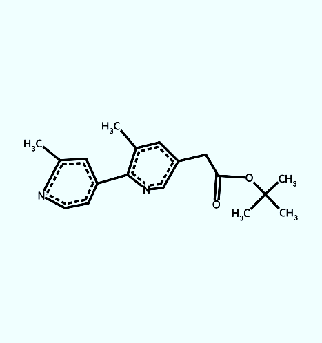 Cc1cc(-c2ncc(CC(=O)OC(C)(C)C)cc2C)ccn1